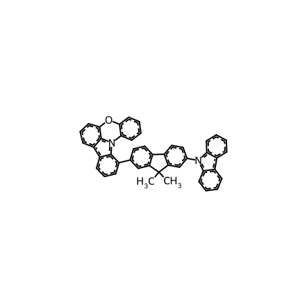 CC1(C)c2cc(-c3cccc4c5cccc6c5n(c34)-c3ccccc3O6)ccc2-c2ccc(-n3c4ccccc4c4ccccc43)cc21